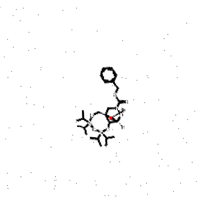 [3H][C@@H]1O[C@]23CO[Si](C(C)C)(C(C)C)O[Si](C(C)C)(C(C)C)OC2[C@@H]1ON(C(=O)OCc1ccccc1)C3